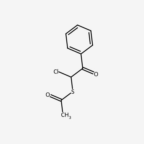 CC(=O)SC(Cl)C(=O)c1ccccc1